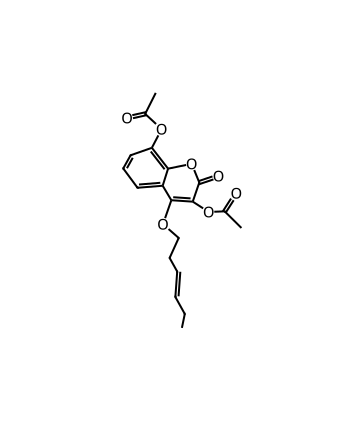 CCC=CCCOc1c(OC(C)=O)c(=O)oc2c(OC(C)=O)cccc12